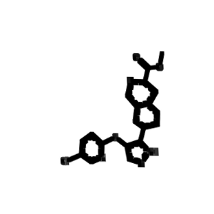 COC(=O)c1cc2ccc(-c3[nH]ncc3Sc3ccc(Cl)cn3)cc2cn1